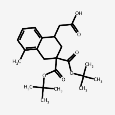 Cc1cccc2c1CC(C(=O)OC(C)(C)C)(C(=O)OC(C)(C)C)CC2CC(=O)O